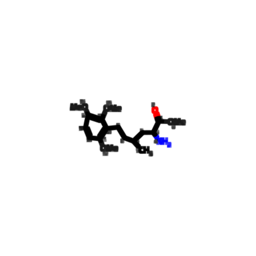 COC(=O)C(N)CC(C)CCc1c(OC)ccc(OC)c1OC